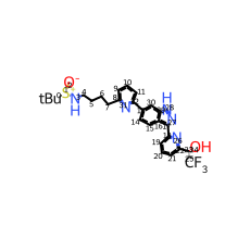 CC(C)(C)[S@@+]([O-])NCCCCc1cccc(-c2ccc3c(-c4cccc([C@H](O)C(F)(F)F)n4)n[nH]c3c2)n1